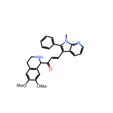 COc1cc2c(cc1OC)C(C(=O)C=Cc1c(-c3ccccc3)n(C)c3ncccc13)NCC2